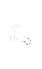 CCCC1CCCN1CCc1ccccn1